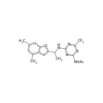 CC(=O)Nc1nc(NC(C)c2cc3c(C)cc(C)cc3o2)nc(C(F)(F)F)n1